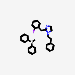 CB(c1ccccc1)c1ccccc1.Ic1ccccc1Cc1nccn1CCc1ccccc1